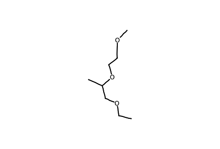 CCOCC(C)OCCOC